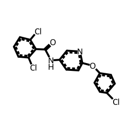 O=C(Nc1ccc(Oc2ccc(Cl)cc2)nc1)c1c(Cl)cccc1Cl